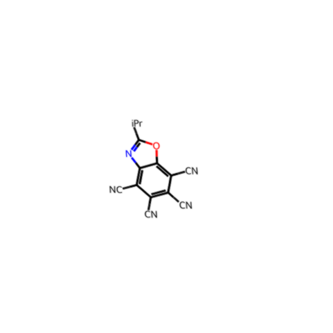 CC(C)c1nc2c(C#N)c(C#N)c(C#N)c(C#N)c2o1